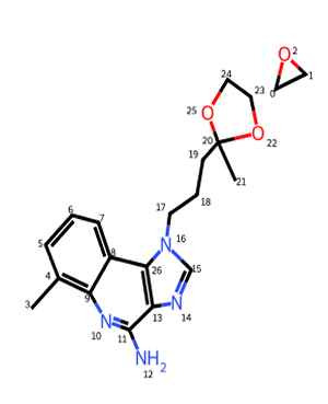 C1CO1.Cc1cccc2c1nc(N)c1ncn(CCCC3(C)OCCO3)c12